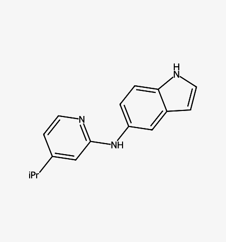 CC(C)c1ccnc(Nc2ccc3[nH]ccc3c2)c1